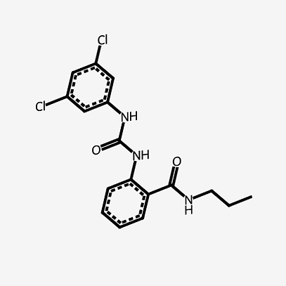 CCCNC(=O)c1ccccc1NC(=O)Nc1cc(Cl)cc(Cl)c1